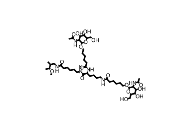 COC(C)C(C)CNC(=O)CCCCCNC(=O)C(CCCCNC(=O)CCCCCOC1OC(CO)C(O)C(O)C1NC(C)=O)NC(=O)CCCCCOC1OC(CO)C(O)C(O)C1NC(C)=O